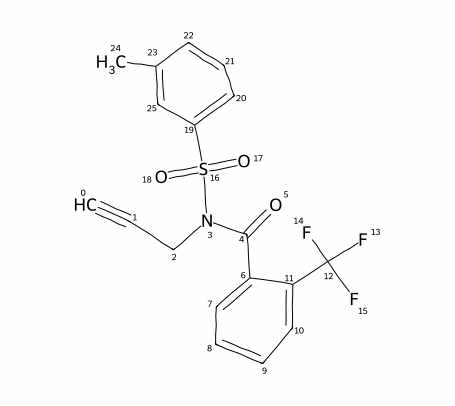 C#CCN(C(=O)c1ccccc1C(F)(F)F)S(=O)(=O)c1cccc(C)c1